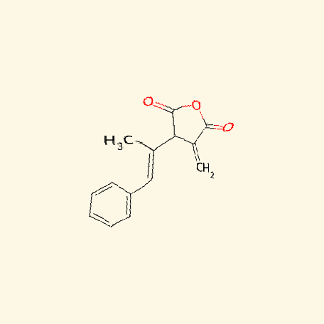 C=C1C(=O)OC(=O)C1C(C)=Cc1ccccc1